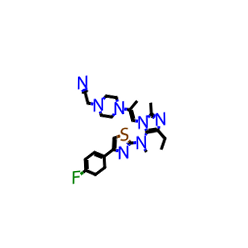 CCc1nc(C)n(/C=C(\C)N2CCN(CC#N)CC2)c1N(C)c1nc(C2=CC=C(F)CC2)cs1